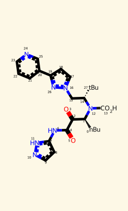 CCCC[C@@H](C(=O)C(=O)Nc1ccn[nH]1)N(C(=O)O)[C@H](Cn1ccc(-c2cccnc2)n1)C(C)(C)C